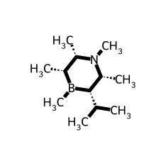 CB1[C@H](C)[C@H](C)N(C)[C@H](C)[C@@H]1C(C)C